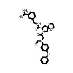 N=C(N)c1cccc(CNC(=O)[C@@H]2CC3(CN2C(=O)CN(C=O)c2ccc(Oc4ccccc4)cc2)OCCO3)c1